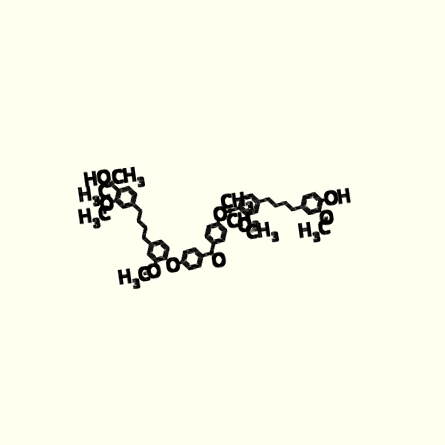 COc1cc(CCCCc2ccc(C(C)(C)Oc3ccc(C(=O)c4ccc(Oc5ccc(CCCCc6ccc(C(C)(C)O)c(OC)c6)cc5OC)cc4)cc3)c(OC)c2)ccc1O